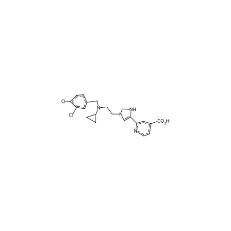 O=C(O)c1ccnc(C2=CN(CCN(Cc3ccc(Cl)c(Cl)c3)C3CC3)CN2)c1